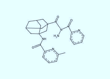 Cc1cccc(C(=O)NC23CC4CC(C2)CC(C(=O)N(N)C(=O)c2ccccn2)(C4)C3)n1